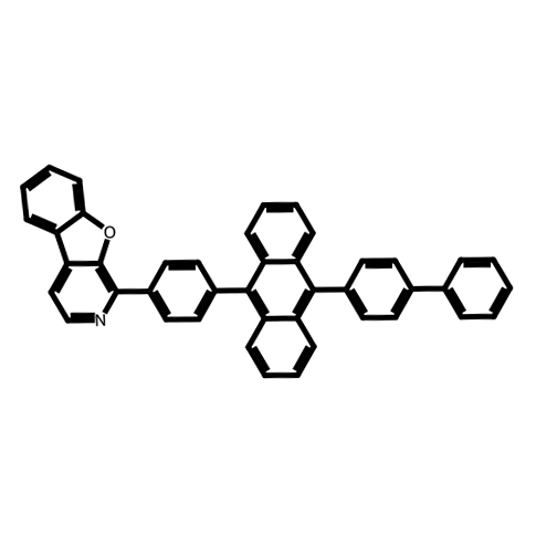 c1ccc(-c2ccc(-c3c4ccccc4c(-c4ccc(-c5nccc6c5oc5ccccc56)cc4)c4ccccc34)cc2)cc1